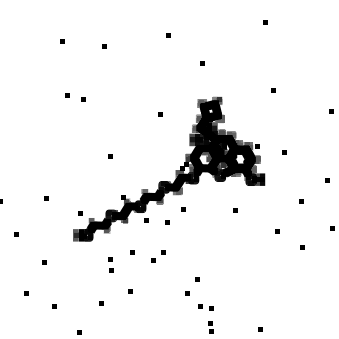 OCCOCCOCCOCCOC1CC[C@@]2(O)[C@H]3Cc4ccc(O)c5c4[C@@]2(CCN3CC2CCC2)C1O5